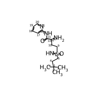 CC(C)(C)CCS(=N)(=O)CC[C@H](N)C(=O)Nc1ccccn1